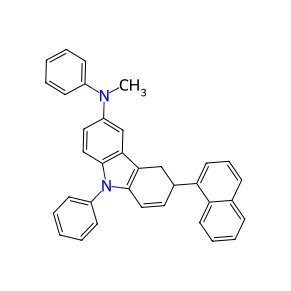 CN(c1ccccc1)c1ccc2c(c1)c1c(n2-c2ccccc2)C=CC(c2cccc3ccccc23)C1